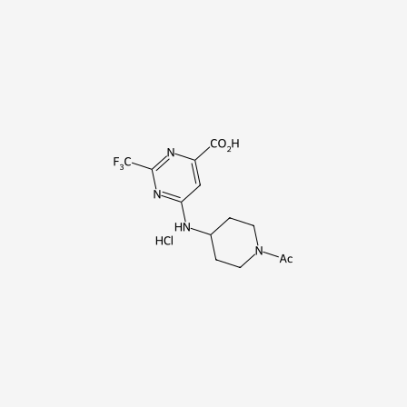 CC(=O)N1CCC(Nc2cc(C(=O)O)nc(C(F)(F)F)n2)CC1.Cl